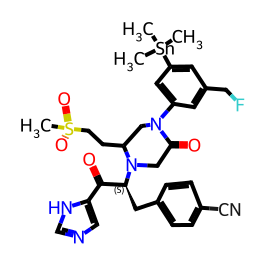 CS(=O)(=O)CCC1CN(c2cc(CF)c[c]([Sn]([CH3])([CH3])[CH3])c2)C(=O)CN1[C@@H](Cc1ccc(C#N)cc1)C(=O)c1cnc[nH]1